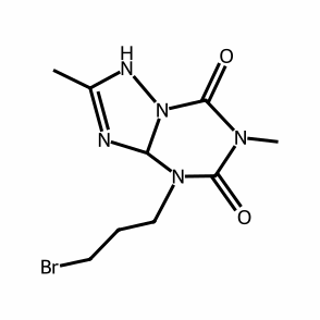 CC1=NC2N(CCCBr)C(=O)N(C)C(=O)N2N1